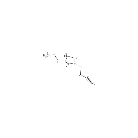 CCCc1nc(CCC#N)c[nH]1